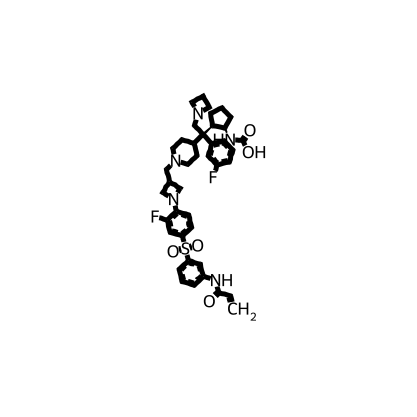 C=CC(=O)Nc1cccc(S(=O)(=O)c2ccc(N3CC(CN4CCC(C(CN5CCC5)(c5cccc(F)c5)[C@H]5CCC[C@@H]5NC(=O)O)CC4)C3)c(F)c2)c1